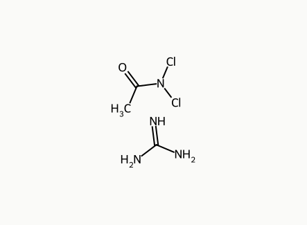 CC(=O)N(Cl)Cl.N=C(N)N